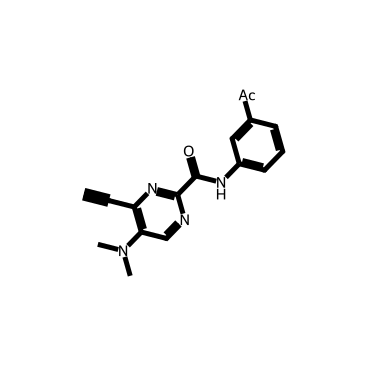 C#Cc1nc(C(=O)Nc2cccc(C(C)=O)c2)ncc1N(C)C